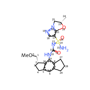 COC[C@H]1CCc2cc3c(c(NC(=O)N=S(N)(=O)c4cnn5c4O[C@@H](C)C5)c21)CCC3